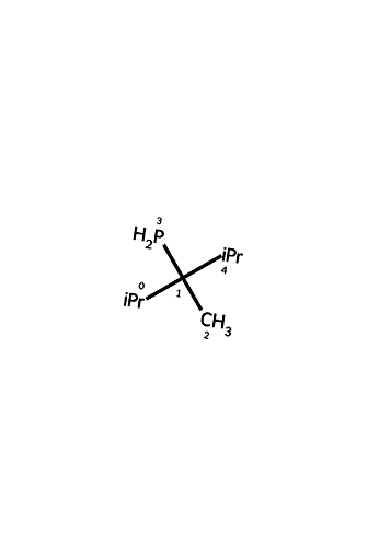 CC(C)C(C)(P)C(C)C